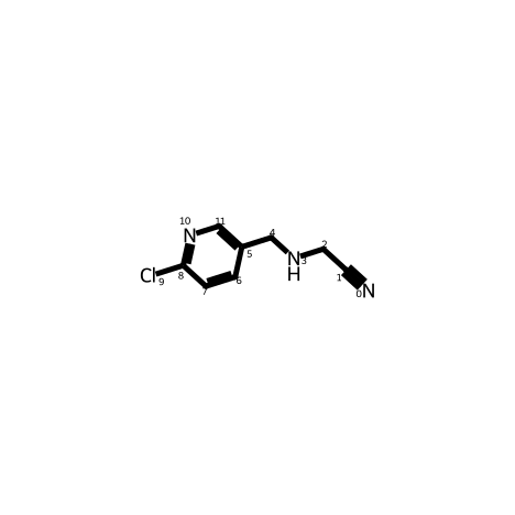 N#CCNCc1ccc(Cl)nc1